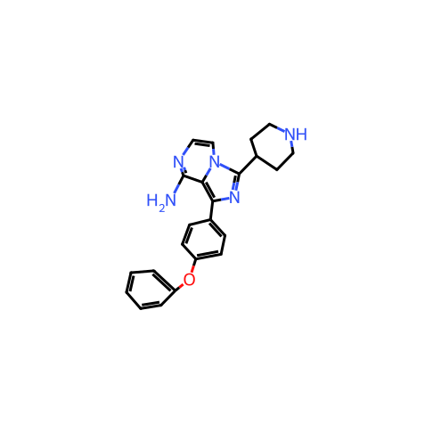 Nc1nccn2c(C3CCNCC3)nc(-c3ccc(Oc4ccccc4)cc3)c12